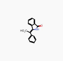 O=C(O)/C(=C1/NC(=O)c2ccccc21)c1ccccc1